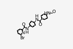 O=CNc1ccc(C(=O)Nc2ccc(NC(=O)c3cccc(Br)n3)cc2)cc1